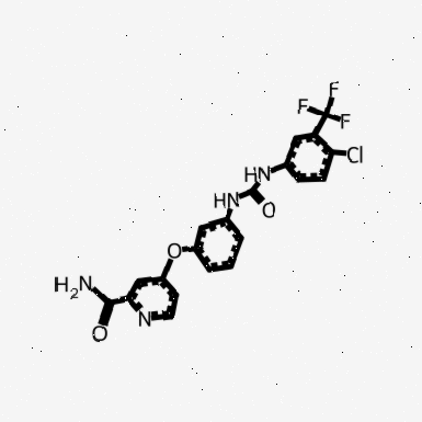 NC(=O)c1cc(Oc2cccc(NC(=O)Nc3ccc(Cl)c(C(F)(F)F)c3)c2)ccn1